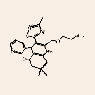 Cc1noc(C2=C(COCCN)NC3=C(C(=O)CC(C)(C)C3)C2c2cccnc2)n1